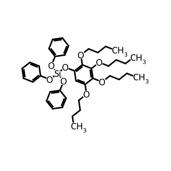 CCCCOc1cc(O[Si](Oc2ccccc2)(Oc2ccccc2)Oc2ccccc2)c(OCCCC)c(OCCCC)c1OCCCC